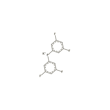 Fc1cc(F)cc([P-]c2cc(F)cc(F)c2)c1.[K+]